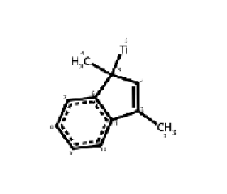 CC1=C[C](C)([Ti])c2ccccc21